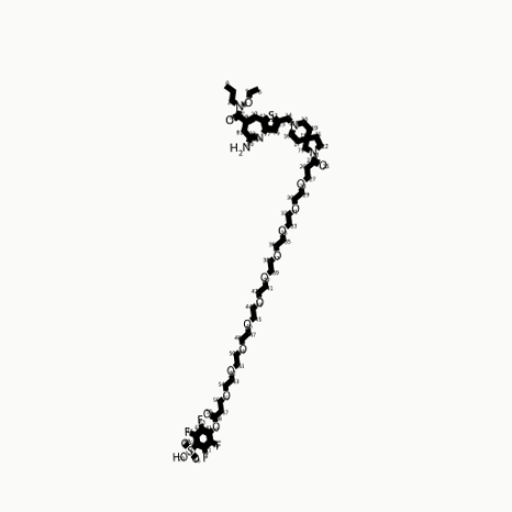 CCCN(OCC)C(=O)C1=Cc2sc(CN3CCC4(CC3)CCN(C(=O)CCOCCOCCOCCOCCOCCOCCOCCOCCOCCOCCC(=O)Oc3c(F)c(F)c(S(=O)(=O)O)c(F)c3F)C4)cc2N=C(N)C1